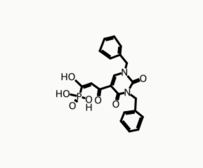 O=C(C=C(O)P(=O)(O)O)c1cn(Cc2ccccc2)c(=O)n(Cc2ccccc2)c1=O